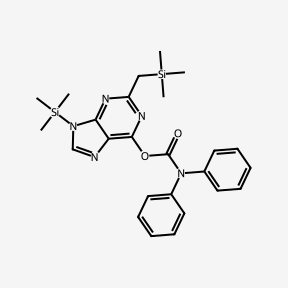 C[Si](C)(C)Cc1nc(OC(=O)N(c2ccccc2)c2ccccc2)c2ncn([Si](C)(C)C)c2n1